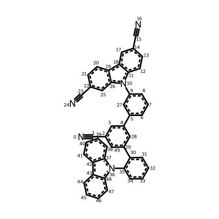 N#Cc1cc(-c2cccc(-n3c4ccc(C#N)cc4c4ccc(C#N)cc43)c2)cc(-c2ccccc2-n2c3ccccc3c3ccccc32)c1